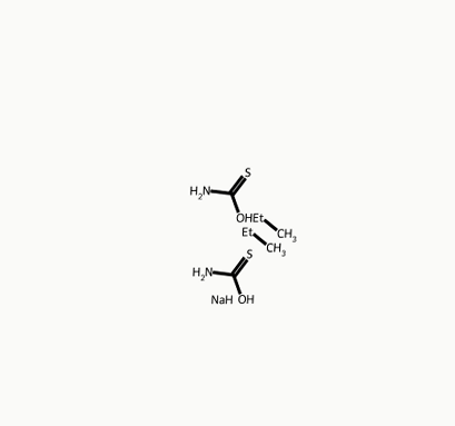 CCC.CCC.NC(O)=S.NC(O)=S.[NaH]